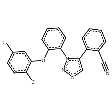 N#Cc1ccccc1-c1cnnn1-c1ccccc1Oc1cc(Cl)ccc1Cl